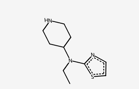 CCN(c1nccs1)C1CCNCC1